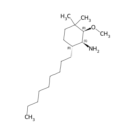 CCCCCCCCC[C@@H]1CCC(C)(C)[C@@H](OC)[C@H]1N